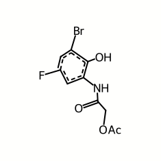 CC(=O)OCC(=O)Nc1cc(F)cc(Br)c1O